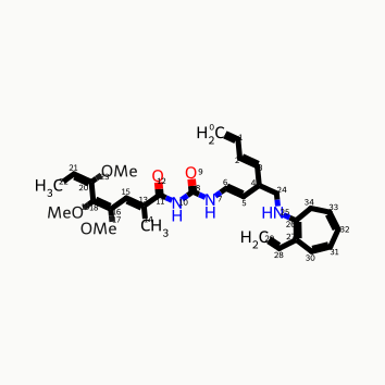 C=CC=CC(/C=C/NC(=O)NC(=O)/C(C)=C/C(OC)=C(OC)\C(=C/C)OC)CNC1=C(C=C)C=CC=CC1